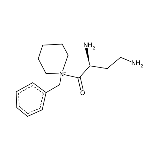 NCC[C@H](N)C(=O)[N+]1(Cc2ccccc2)CCCCC1